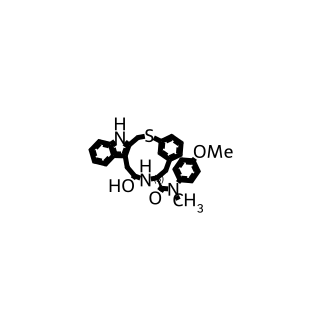 COc1ccc(N(C)C(=O)[C@@H]2Cc3cccc(c3)SCc3[nH]c4ccccc4c3CC(O)N2)cc1